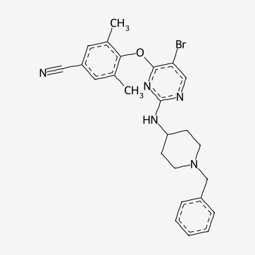 Cc1cc(C#N)cc(C)c1Oc1nc(NC2CCN(Cc3ccccc3)CC2)ncc1Br